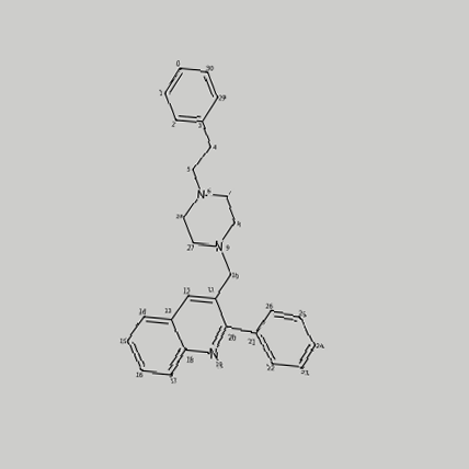 c1ccc(CCN2CCN(Cc3cc4ccccc4nc3-c3ccccc3)CC2)cc1